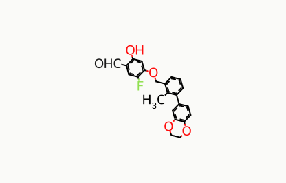 Cc1c(COc2cc(O)c(C=O)cc2F)cccc1-c1ccc2c(c1)OCCO2